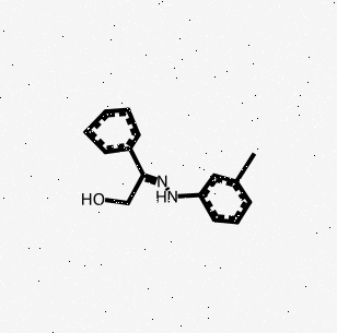 Cc1cccc(NN=C(CO)c2ccccc2)c1